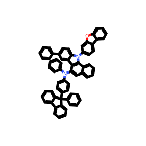 c1ccc(-c2ccc3c(c2)c2c(N(c4ccccc4)c4ccc(C5(c6ccccc6)c6ccccc6-c6ccccc65)cc4)cc4ccccc4c2n3-c2ccc3c(c2)oc2ccccc23)cc1